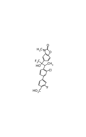 CC(c1ccc(-c2ccc(C(=O)O)c(F)c2)cc1Cl)C(O)(c1ccc2oc(=O)n(C)c2c1)C(F)(F)F